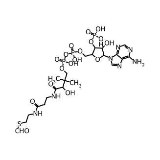 CC(C)(COP(=O)(O)OP(=O)(O)OCC1OC(n2cnc3c(N)ncnc32)C(O)C1OP(=O)(O)O)C(O)C(=O)NCCC(=O)NCCSC=O